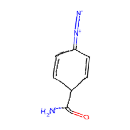 [N-]=[N+]=C1C=CC(C(N)=O)C=C1